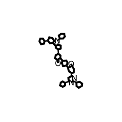 c1ccc(-c2ccc3c(c2)c2cc(-c4ccc5oc6cc7c(cc6c5c4)oc4ccc(-c5cc(-c6ccccc6)nc(-c6ccccc6)n5)cc47)ccc2n3-c2ccccc2)cc1